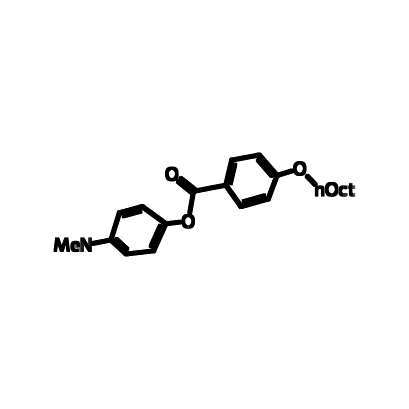 CCCCCCCCOc1ccc(C(=O)Oc2ccc(NC)cc2)cc1